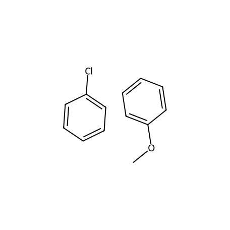 COc1ccccc1.Clc1ccccc1